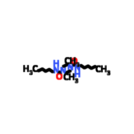 CCCCCCNC(=O)N1CC(C)N(C(=O)NCCCCCC)CC1C